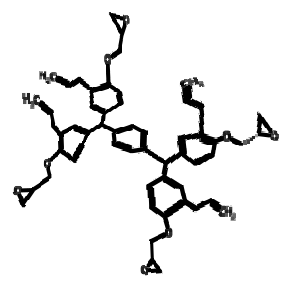 C=CCc1cc(C(c2ccc(C(c3ccc(OCC4CO4)c(CC=C)c3)c3ccc(OC[C@@H]4CO4)c(CC=C)c3)cc2)c2ccc(OCC3CO3)c(CC=C)c2)ccc1OCC1CO1